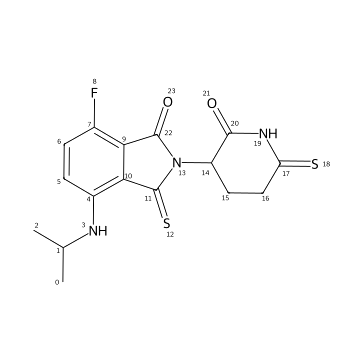 CC(C)Nc1ccc(F)c2c1C(=S)N(C1CCC(=S)NC1=O)C2=O